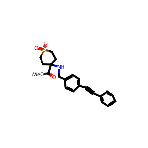 COC(=O)C1(NCc2ccc(C#Cc3ccccc3)cc2)CCS(=O)(=O)CC1